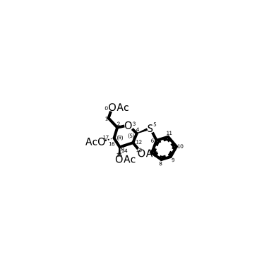 CC(=O)OCC1O[C@@H](Sc2ccccc2)C(OC(C)=O)[C@@H](OC(C)=O)[C@@H]1OC(C)=O